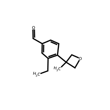 CCc1cc(C=O)ccc1C1(C)COC1